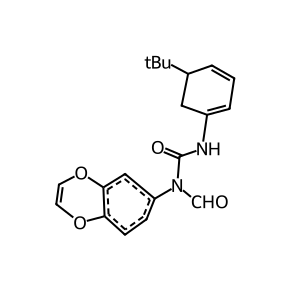 CC(C)(C)C1C=CC=C(NC(=O)N(C=O)c2ccc3c(c2)OC=CO3)C1